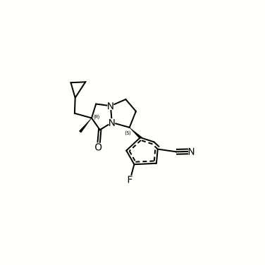 C[C@@]1(CC2CC2)CN2CC[C@@H](c3cc(F)cc(C#N)c3)N2C1=O